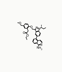 CCOC(=O)Cc1cc(COC)ccc1OCc1nn([C@@H](C)CC)c2ccc(-c3cccc4c(N)nccc34)cc12